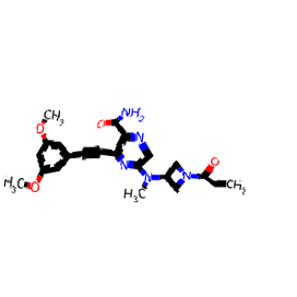 C=CC(=O)N1CC(N(C)c2cnc(C(N)=O)c(C#Cc3cc(OC)cc(OC)c3)n2)C1